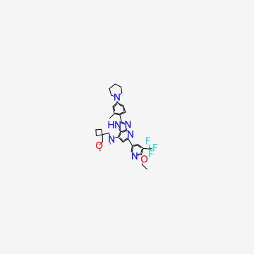 CCOc1ncc(-c2cc(N(C)CC3(COC)CCC3)c3[nH]c(-c4ccc(N5CCCCC5)cc4C)nc3n2)cc1C(F)(F)F